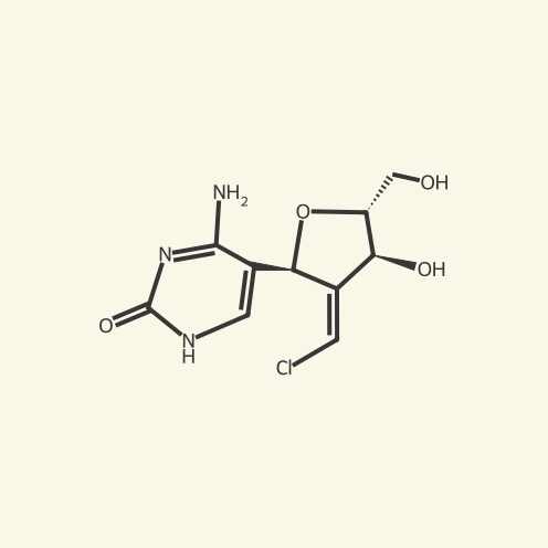 Nc1nc(=O)[nH]cc1[C@H]1O[C@H](CO)[C@@H](O)/C1=C/Cl